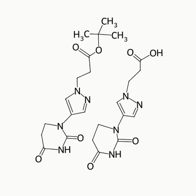 CC(C)(C)OC(=O)CCn1cc(N2CCC(=O)NC2=O)cn1.O=C(O)CCn1cc(N2CCC(=O)NC2=O)cn1